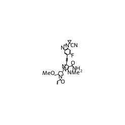 C=CC(=O)N1C[C@@H](n2nc(C#Cc3cc4ncn(C5(C#N)CC5)c4cc3F)c(C(N)=O)c2NC)C[C@@H]1COC